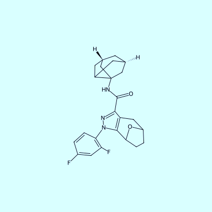 O=C(NC12C[C@@H]3CC1C[C@@H](C3)C2)c1nn(-c2ccc(F)cc2F)c2c1CC1CCC2O1